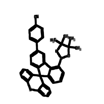 CC1(C)OB(c2cccc3c2-c2cc(-c4ccc(C#N)cc4)ccc2C32c3ccccc3Sc3ccccc32)OC1(C)C